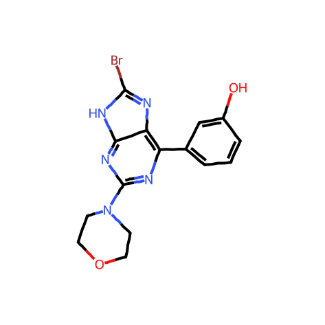 Oc1cccc(-c2nc(N3CCOCC3)nc3[nH]c(Br)nc23)c1